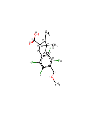 COCc1c(F)c(F)c(C[C@@]2(C(=O)O)C(C)C2(C)C)c(F)c1F